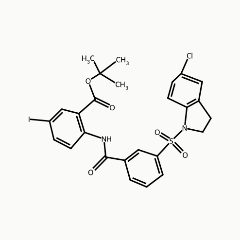 CC(C)(C)OC(=O)c1cc(I)ccc1NC(=O)c1cccc(S(=O)(=O)N2CCc3cc(Cl)ccc32)c1